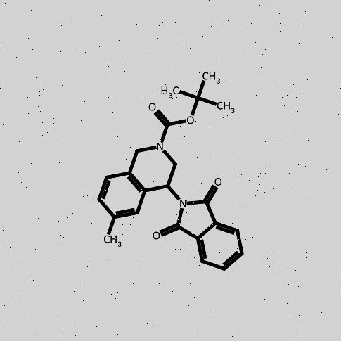 Cc1ccc2c(c1)C(N1C(=O)c3ccccc3C1=O)CN(C(=O)OC(C)(C)C)C2